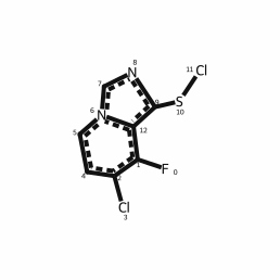 Fc1c(Cl)ccn2cnc(SCl)c12